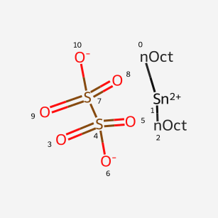 CCCCCCC[CH2][Sn+2][CH2]CCCCCCC.O=S(=O)([O-])S(=O)(=O)[O-]